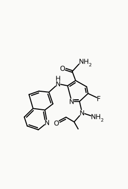 CC(C=O)N(N)c1nc(Nc2ccc3cccnc3c2)c(C(N)=O)cc1F